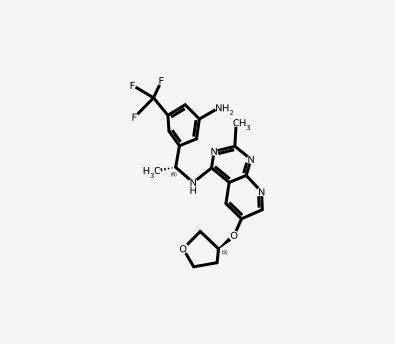 Cc1nc(N[C@H](C)c2cc(N)cc(C(F)(F)F)c2)c2cc(O[C@H]3CCOC3)cnc2n1